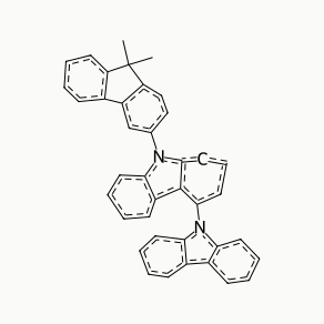 CC1(C)c2ccccc2-c2cc(-n3c4ccccc4c4c(-n5c6ccccc6c6ccccc65)cccc43)ccc21